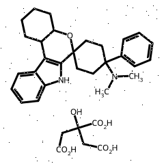 CN(C)C1(c2ccccc2)CCC2(CC1)OC1CCCCC1c1c2[nH]c2ccccc12.O=C(O)CC(O)(CC(=O)O)C(=O)O